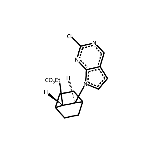 CCOC(=O)[C@H]1C2CCC(CC2)[C@@H]1n1ccc2cnc(Cl)nc21